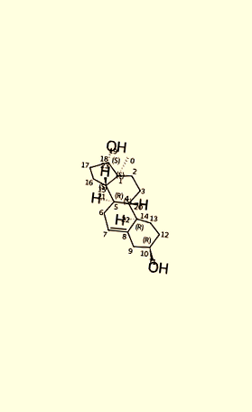 C[C@]12CC[C@H]3[C@@H](CC=C4C[C@H](O)CC[C@@H]43)[C@@H]1CC[C@@H]2O